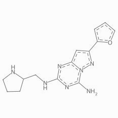 Nc1nc(NCC2CCCN2)nc2cc(-c3ccco3)nn12